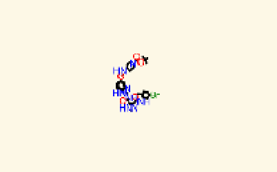 Cc1ccc(Br)cc1NC(=O)c1nc[nH]c1C(=O)Nc1nc2cc(OCNC3CCN(C(=O)OC(C)(C)C)CC3)ccc2[nH]1